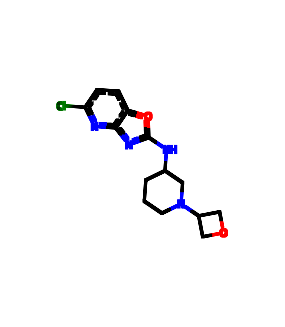 Clc1ccc2oc(NC3CCCN(C4COC4)C3)nc2n1